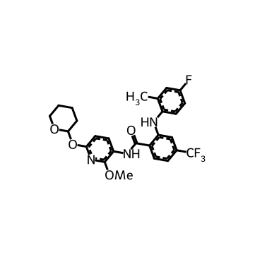 COc1nc(OC2CCCCO2)ccc1NC(=O)c1ccc(C(F)(F)F)cc1Nc1ccc(F)cc1C